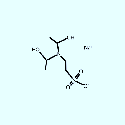 CC(O)N(CCS(=O)(=O)[O-])C(C)O.[Na+]